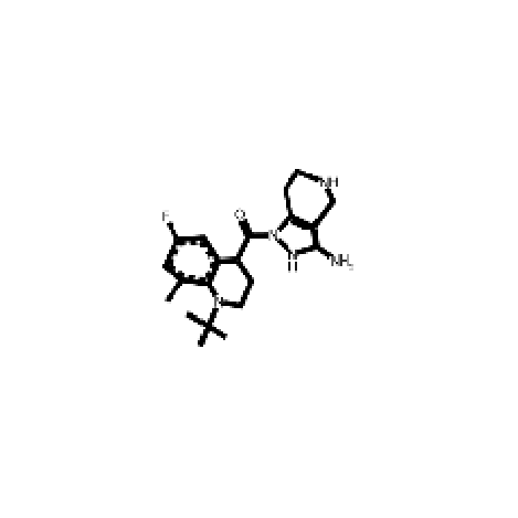 Cc1cc(F)cc2c1N(C(C)(C)C)CCC2C(=O)N1NC(N)C2=C1CCNC2